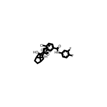 Cn1cc(C(O)C2(O)C3CCC2CC(S(=O)(=O)c2cc(C(=O)Nc4ccc(F)c(F)c4)ccc2Cl)C3)cn1